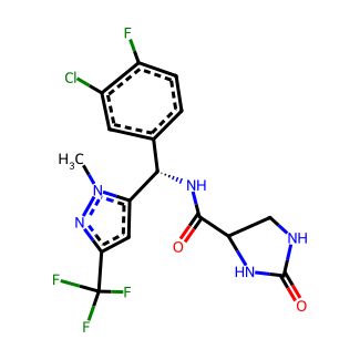 Cn1nc(C(F)(F)F)cc1[C@@H](NC(=O)C1CNC(=O)N1)c1ccc(F)c(Cl)c1